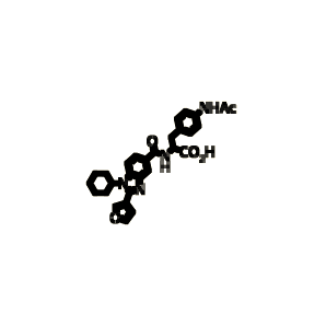 CC(=O)Nc1ccc(CC(NC(=O)c2ccc3c(c2)nc(-c2ccoc2)n3C2CCCCC2)C(=O)O)cc1